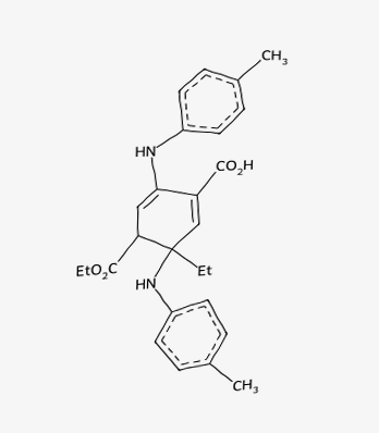 CCOC(=O)C1C=C(Nc2ccc(C)cc2)C(C(=O)O)=CC1(CC)Nc1ccc(C)cc1